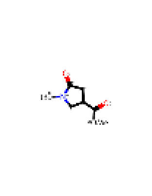 COC(=O)C1CC(=O)N(C(C)(C)C)C1